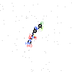 O=C(CN1C(=O)S/C(=C\c2ccc3c(cnn3Cc3ccc(Cl)cc3C(F)(F)F)c2)C1=O)N1CCN[C@@H](CO)C1